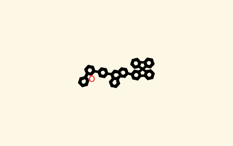 c1ccc2c(c1)-c1ccccc1C21c2ccccc2-c2ccc(-c3ccc4cc(-c5ccc(-c6cccc7c6oc6ccccc67)cc5)c5ccccc5c4c3)cc21